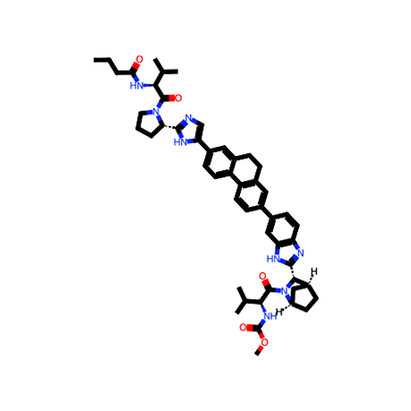 CCCC(=O)N[C@H](C(=O)N1CCC[C@H]1c1ncc(-c2ccc3c(c2)CCc2cc(-c4ccc5nc([C@@H]6[C@H]7CC[C@H](C7)N6C(=O)[C@@H](NC(=O)OC)C(C)C)[nH]c5c4)ccc2-3)[nH]1)C(C)C